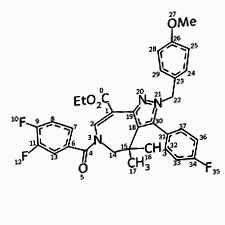 CCOC(=O)C1=CN(C(=O)c2ccc(F)c(F)c2)CC(C)(C)c2c1nn(Cc1ccc(OC)cc1)c2-c1ccc(F)cc1